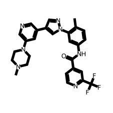 Cc1ccc(NC(=O)c2ccnc(C(F)(F)F)c2)cc1-n1cc(-c2cncc(N3CCN(C)CC3)c2)cn1